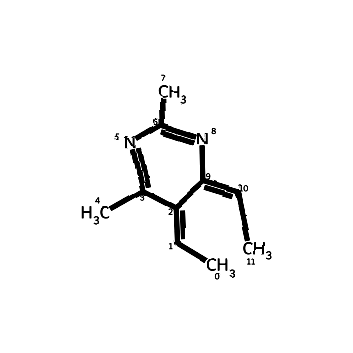 C/C=c1/c(C)nc(C)n/c1=C/C